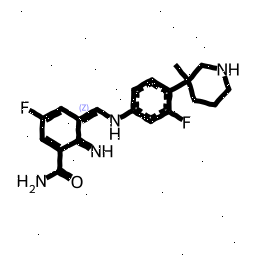 CC1(c2ccc(N/C=C3/C=C(F)C=C(C(N)=O)C3=N)cc2F)CCCNC1